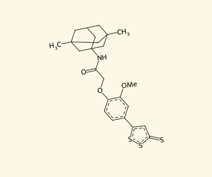 COc1cc(-c2cc(=S)ss2)ccc1OCC(=O)NC12CC3CC(C)(CC(C)(C3)C1)C2